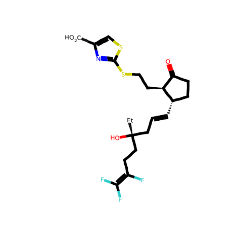 CC[C@@](O)(C/C=C/[C@H]1CCC(=O)[C@@H]1CCSc1nc(C(=O)O)cs1)CCC(F)=C(F)F